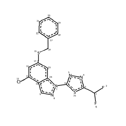 FC(F)c1nnc(-n2ncc3c(Cl)cc(SCc4ccccc4)cc32)s1